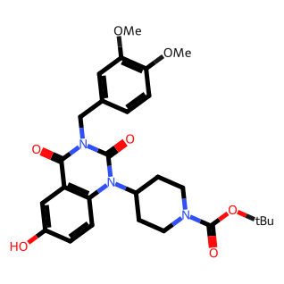 COc1ccc(Cn2c(=O)c3cc(O)ccc3n(C3CCN(C(=O)OC(C)(C)C)CC3)c2=O)cc1OC